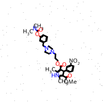 COC(=O)C1=C(C)NC(C)=C(C(=O)OCCCN2CCN(Cc3cccc(OC(=O)N(C)C)c3)CC2)C1c1cccc([N+](=O)[O-])c1